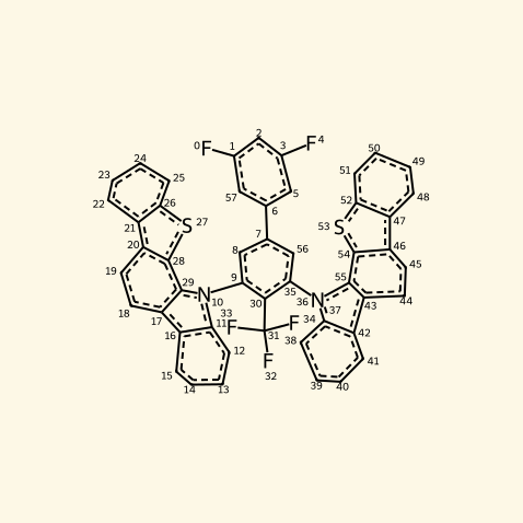 Fc1cc(F)cc(-c2cc(-n3c4ccccc4c4ccc5c6ccccc6sc5c43)c(C(F)(F)F)c(-n3c4ccccc4c4ccc5c6ccccc6sc5c43)c2)c1